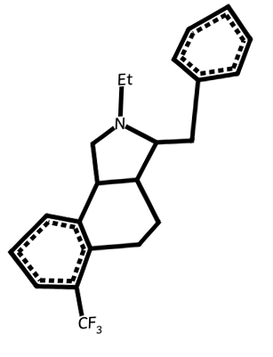 CCN1CC2c3cccc(C(F)(F)F)c3CCC2C1Cc1ccccc1